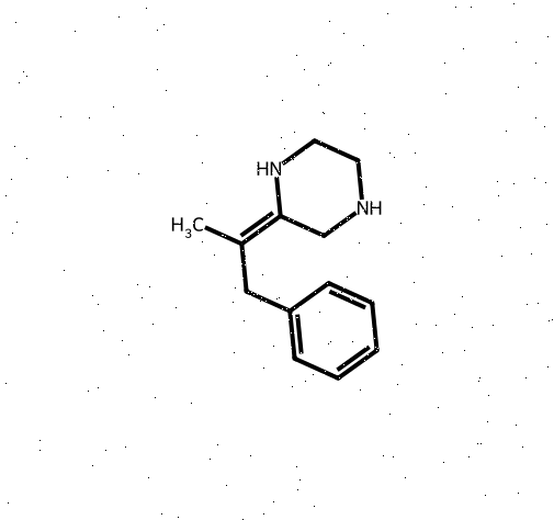 CC(Cc1ccccc1)=C1CNCCN1